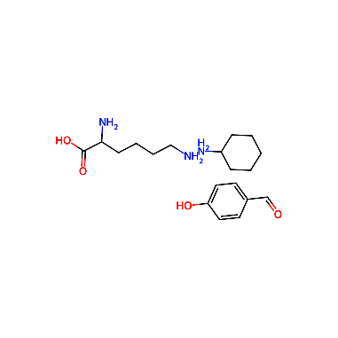 NC1CCCCC1.NCCCCC(N)C(=O)O.O=Cc1ccc(O)cc1